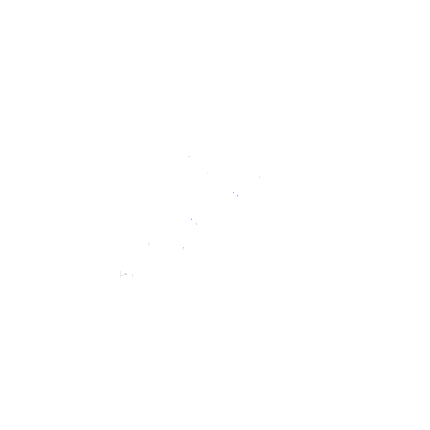 Br.C=CCN1C=CN(CCCCCCCC)C1